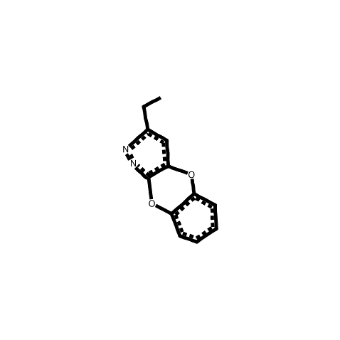 CCc1cc2c(nn1)Oc1ccccc1O2